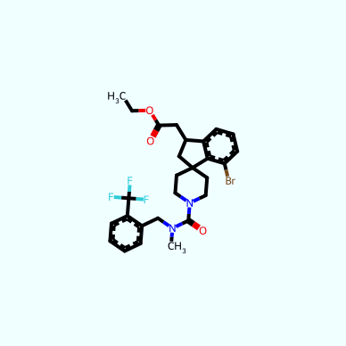 CCOC(=O)CC1CC2(CCN(C(=O)N(C)Cc3ccccc3C(F)(F)F)CC2)c2c(Br)cccc21